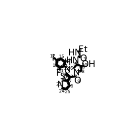 CCNC(=O)N[C@H]1CN(C(=O)c2c(Nc3ccc(I)cc3F)sc3ncccc23)C[C@H]1O